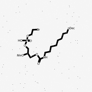 CCCCCCCCCCCCCCCCCCNC(=O)OCC(COP(=O)(O)OCCBr)OC